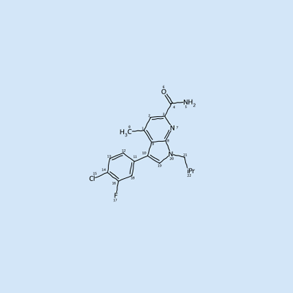 Cc1cc(C(N)=O)nc2c1c(-c1ccc(Cl)c(F)c1)cn2CC(C)C